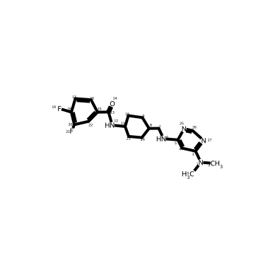 CN(C)c1cc(NCC2CCC(NC(=O)c3ccc(F)c(F)c3)CC2)ncn1